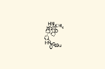 CN1C(=N)NC(c2ccccc2)(c2cccc(-c3cccc(CNC(=O)OC(C)(C)C)c3)c2)C1=O